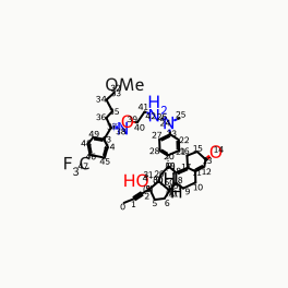 CC#C[C@]1(O)CC[C@H]2[C@@H]3CCC4=CC(=O)CCC4=C3[C@@H](c3ccc(N(C)C)cc3)C[C@@]21C.COCCCC/C(=N\OCCN)c1ccc(C(F)(F)F)cc1